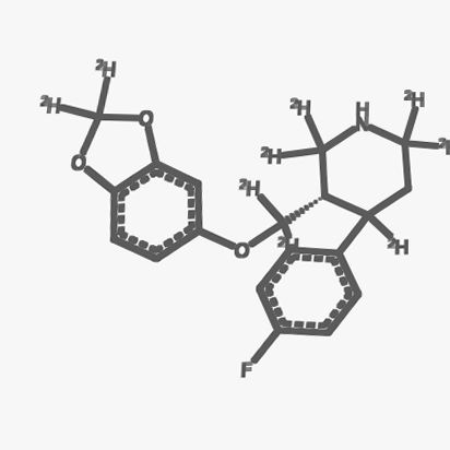 [2H]C1([2H])CC([2H])(c2ccc(F)cc2)[C@H](C([2H])([2H])Oc2ccc3c(c2)OC([2H])([2H])O3)C([2H])([2H])N1